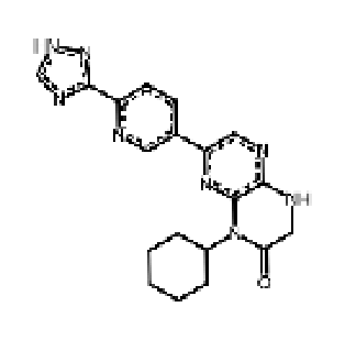 O=C1CNc2ncc(-c3ccc(-c4nc[nH]n4)nc3)nc2N1C1CCCCC1